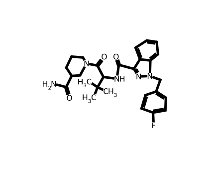 CC(C)(C)C(NC(=O)c1nn(Cc2ccc(F)cc2)c2ccccc12)C(=O)N1CCCC(C(N)=O)C1